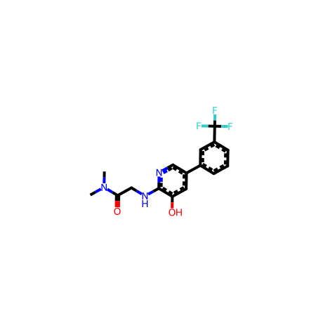 CN(C)C(=O)CNc1ncc(-c2cccc(C(F)(F)F)c2)cc1O